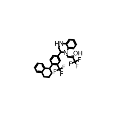 O[C@H](CN1c2ccccc2NCC1c1ccc(C2CCCc3ccccc32)c(C(F)(F)F)c1)C(F)(F)F